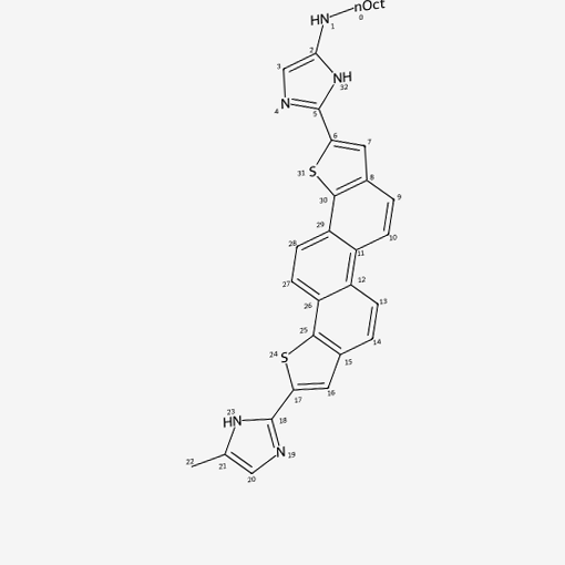 CCCCCCCCNc1cnc(-c2cc3ccc4c5ccc6cc(-c7ncc(C)[nH]7)sc6c5ccc4c3s2)[nH]1